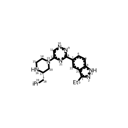 CCc1n[nH]c2ccc(-c3nncc(N4CCN[C@@H](CC(C)C)C4)n3)cc12